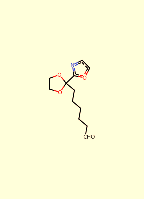 O=CCCCCCC1(c2ncco2)OCCO1